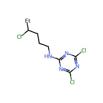 CCC(Cl)CCCNc1nc(Cl)nc(Cl)n1